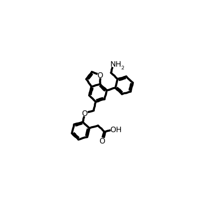 NCc1ccccc1-c1cc(COc2ccccc2CC(=O)O)cc2ccoc12